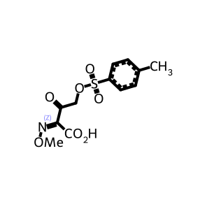 CO/N=C(\C(=O)O)C(=O)COS(=O)(=O)c1ccc(C)cc1